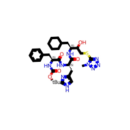 Cn1nnnc1SCC(O)[C@H](CC1CCCCC1)NC(=O)[C@H](Cc1c[nH]cn1)NC(=O)[C@H](Cc1ccccc1)NC(=O)OC(C)(C)C